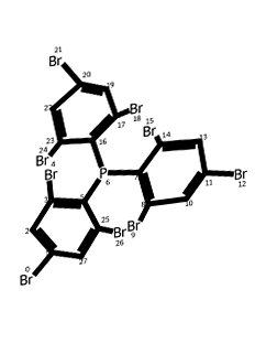 Brc1cc(Br)c(P(c2c(Br)cc(Br)cc2Br)c2c(Br)cc(Br)cc2Br)c(Br)c1